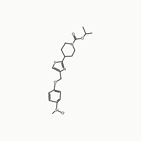 CC(C)OC(=O)N1CCC(c2nc(COc3ccc([S+](C)[O-])cc3)cs2)CC1